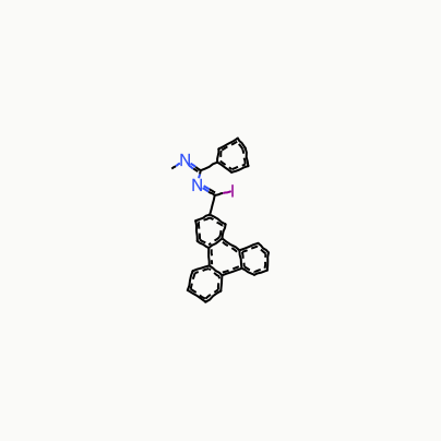 C/N=C(\N=C(/I)c1ccc2c3ccccc3c3ccccc3c2c1)c1ccccc1